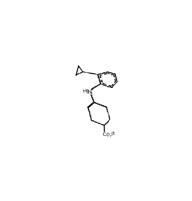 CCOC(=O)C1CCC(Nc2ccccc2C2CC2)CC1